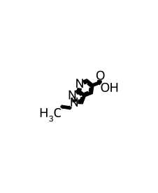 CCCn1cc2cc(C(=O)O)cnc2n1